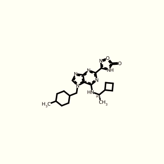 CC1CCC(Cn2cnc3nc(-c4noc(=O)[nH]4)nc(N[C@H](C)C4CCC4)c32)CC1